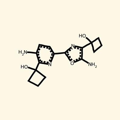 Nc1ccc(-c2nc(C3(O)CCC3)c(N)o2)nc1C1(O)CCC1